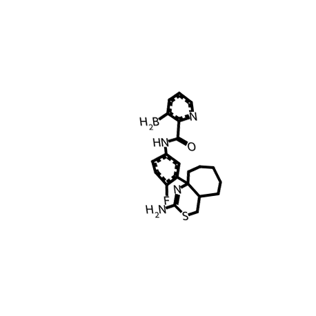 Bc1cccnc1C(=O)Nc1ccc(F)c(C23CCCCCC2CSC(N)=N3)c1